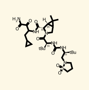 CC(C)(C)[C@H](NC(=O)N[C@H](CN1CCCS1(=O)=O)C(C)(C)C)C(=O)N1CC2[C@@H]([C@H]1C(=O)NC(CC1CC1)C(=O)C(N)=O)C2(C)C